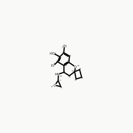 CCc1cc2c(c(CC)c1O)C(NC1CO1)CC1(CCC1)O2